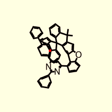 CC1(C)c2ccccc2C2(c3ccccc3-c3ccccc32)c2cc3c(cc21)oc1cccc(-c2cc(-c4ccc(-c5ccccc5)cc4)nc(-c4ccccc4)n2)c13